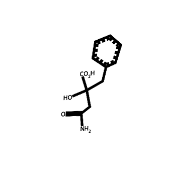 NC(=O)CC(O)(Cc1ccccc1)C(=O)O